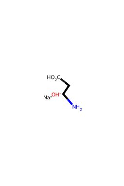 NCCC(=O)O.[Na+].[OH-]